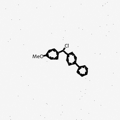 COc1ccc(C(Cl)c2ccc(-c3ccccc3)cc2)cc1